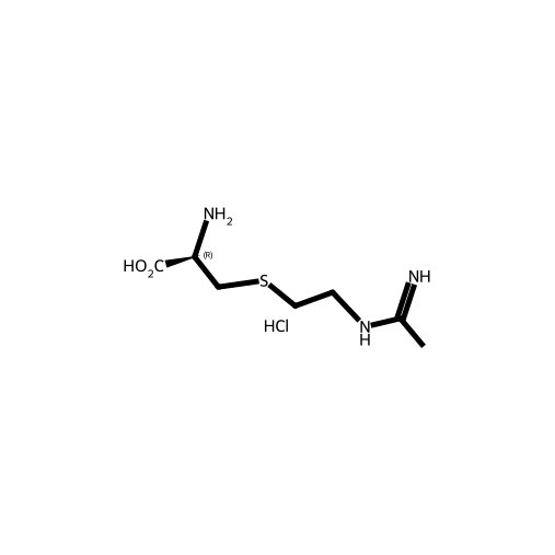 CC(=N)NCCSC[C@H](N)C(=O)O.Cl